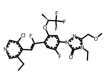 CCc1cncc(Cl)c1/C=C(\F)c1cc(F)c(-n2nc(COC)n(CC)c2=O)cc1O[C@@H](C)C(F)(F)F